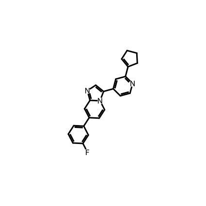 Fc1cccc(-c2ccn3c(-c4ccnc(C5=CCCC5)c4)cnc3c2)c1